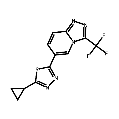 FC(F)(F)c1nnc2ccc(-c3nnc(C4CC4)s3)cn12